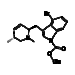 C[C@@H]1C=C[C@@H](Cc2cn(C(=O)OC(C)(C)C)c3cccc(Br)c23)N(C)C1